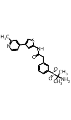 Cc1cc(-c2csc(NC(=O)Cc3cccc(S(=O)(=O)C(C)(C)N)c3)c2)ccn1